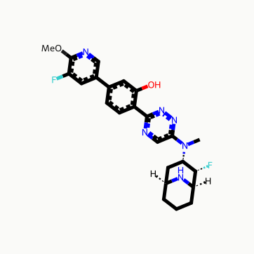 COc1ncc(-c2ccc(-c3ncc(N(C)[C@H]4C[C@@H]5CCC[C@@H](N5)[C@H]4F)nn3)c(O)c2)cc1F